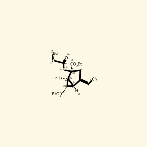 CCOC(=O)[C@H]1[C@@H]2C(=CC#N)C[C@@](NC(=O)OC(C)(C)C)(C(=O)OCC)[C@H]12